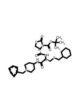 CC(C)(C)OC(=O)N1C(=O)OC[C@H]1C(=O)N[C@@H](CSCC1CCCCC1)C(=O)NC1CCN(Cc2ccccc2)CC1